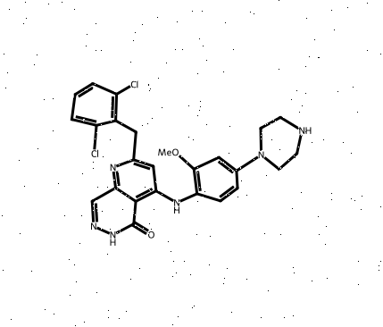 COc1cc(N2CCNCC2)ccc1Nc1cc(Cc2c(Cl)cccc2Cl)nc2cn[nH]c(=O)c12